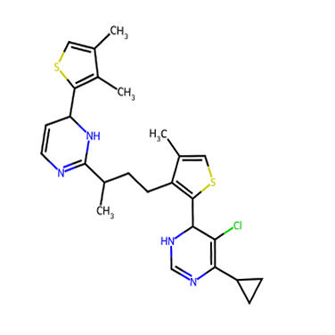 Cc1csc(C2C=CN=C(C(C)CCc3c(C)csc3C3NC=NC(C4CC4)=C3Cl)N2)c1C